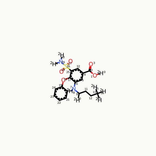 [2H]OC(=O)c1cc(N([2H])C([2H])CCC([2H])([2H])[2H])c(Oc2ccccc2)c(S(=O)(=O)N([2H])[2H])c1